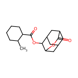 CC1CCCCC1C(=O)OC1C2CC3CC(C2)C(=O)OC1C3